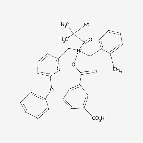 CCC(C)(C)C(=O)[N+](Cc1cccc(Oc2ccccc2)c1)(Cc1ccccc1C)OC(=O)c1cccc(C(=O)O)c1